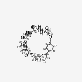 CC(C)[C@@H]1NC(=O)[C@@H](C)Oc2ccc(cc2)-c2cccc(c2)[C@@H](C)CC(=O)[C@@H]2CCCN(N2)C(=O)[C@H](C)NC1=O